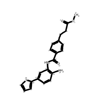 COC(=O)CCc1ccc(C(=O)Nc2cc(-c3cccs3)ccc2N)cc1